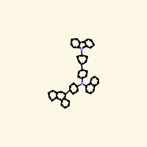 c1ccc2c(N(c3ccc(-c4ccc(-n5c6ccccc6c6ccccc65)cc4)cc3)c3ccc(-c4cc5ccccc5c5ccccc45)cc3)cccc2c1